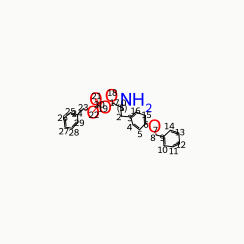 N[C@@H](Cc1ccc(OCc2ccccc2)cc1)C(=O)OC(=O)OCc1ccccc1